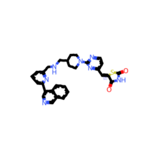 O=C1NC(=O)/C(=C/c2ccnc(N3CCC(CNCc4cccc(-c5cncc6ccccc56)n4)CC3)n2)S1